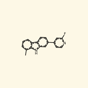 Cc1cccc2c1[nH]c1cc(-c3ccnc(F)c3)ccc12